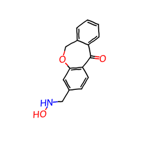 O=C1c2ccccc2COc2cc(CNO)ccc21